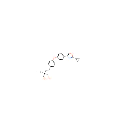 CC(=O)NC(CO)(CO)CCc1ccc(Oc2ccc(-c3coc(C4CC4)n3)cc2)cc1